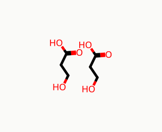 O=C(O)CCO.O=C(O)CCO